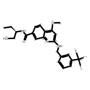 CC[C@H](CO)NC(=O)c1ccc2c(OC)cc(NCc3cccc(C(F)(F)F)c3)nc2c1